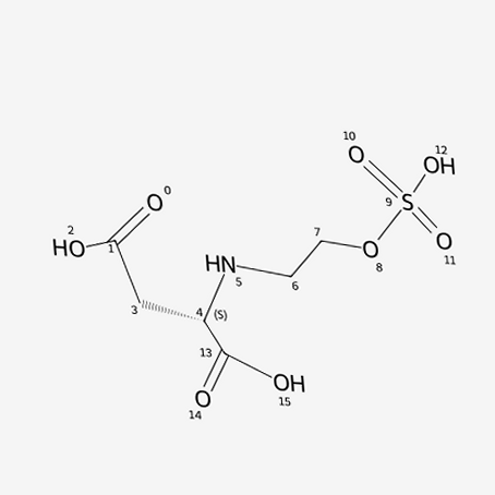 O=C(O)C[C@H](NCCOS(=O)(=O)O)C(=O)O